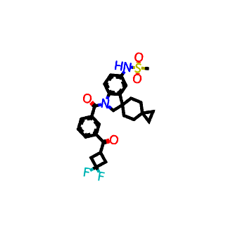 CS(=O)(=O)Nc1ccc2c(c1)C1(CCC3(CC3)CC1)CN2C(=O)c1cccc(C(=O)C2CC(F)(F)C2)c1